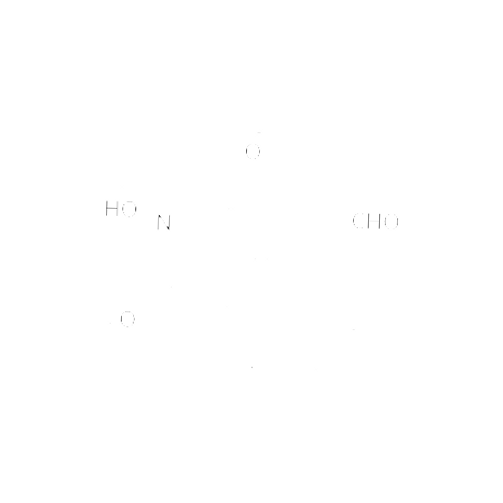 O=Cc1cccc2c1C(=O)N(O)C2=O